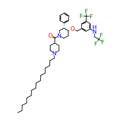 CCCCCCCCCCCCCCCCN1CCC(C(=O)N2CC[C@@H](OCc3cc(NCC(F)(F)F)cc(C(F)(F)F)c3)[C@@H](c3ccccc3)C2)CC1